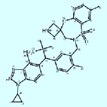 Cc1cnc2c(c1)S(=O)(=O)N(Cc1cc(C(c3ccc4c(nnn4C4CC4)c3C)C(C)(C)C(=O)O)ccc1C)CC1(CNC1)O2